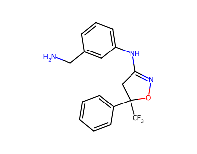 NCc1cccc(NC2=NOC(c3ccccc3)(C(F)(F)F)C2)c1